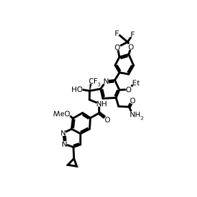 CCOc1c(CC(N)=O)cc([C@@](O)(CNC(=O)c2cc(OC)c3nnc(C4CC4)cc3c2)C(F)(F)F)nc1-c1ccc2c(c1)OC(F)(F)O2